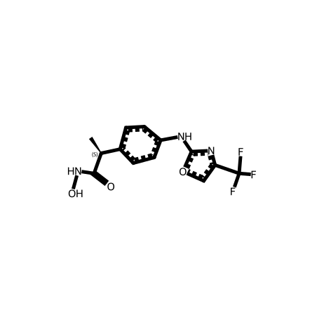 C[C@H](C(=O)NO)c1ccc(Nc2nc(C(F)(F)F)co2)cc1